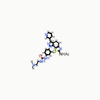 CC(=O)Nc1nc2c(s1)-c1c(c(-c3cccnc3)nn1-c1ccc(NC(=O)NCCN(C)C)cc1Cl)CC2